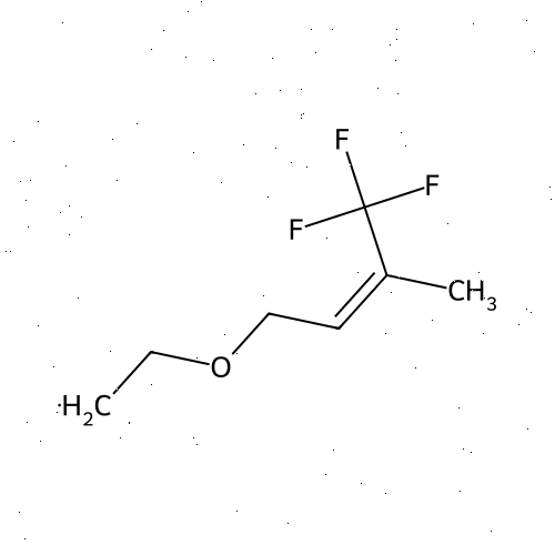 [CH2]COCC=C(C)C(F)(F)F